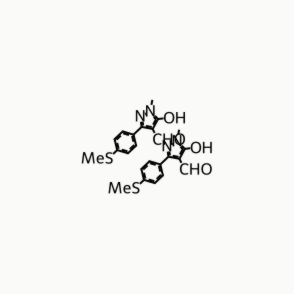 CSc1ccc(-c2nn(C)c(O)c2C=O)cc1.CSc1ccc(-c2nn(C)c(O)c2C=O)cc1